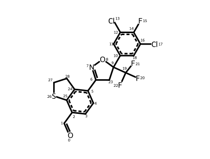 O=Cc1ccc(C2=NOC(c3cc(Cl)c(F)c(Cl)c3)(C(F)(F)F)C2)c2c1SCC2